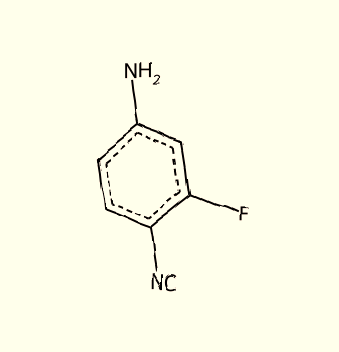 [C-]#[N+]c1ccc(N)cc1F